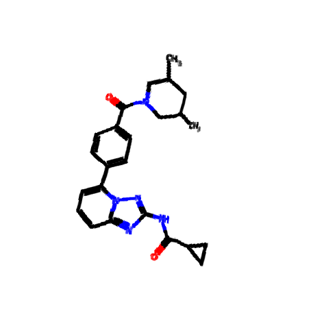 CC1CC(C)CN(C(=O)c2ccc(-c3cccc4nc(NC(=O)C5CC5)nn34)cc2)C1